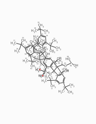 Cc1cc(C(C)(C)C)cc(C(C)(C)C)c1C(OP(O)OCC(CO)(CO)C(Oc1c(C(C)(C)C)cc(C(C)(C)C)cc1C(C)(C)C)c1c(C(C)(C)C)cc(C(C)(C)C)cc1C(C)(C)C)(c1c(C)cc(C(C)(C)C)cc1C(C)(C)C)C(CO)(CO)COP(O)O